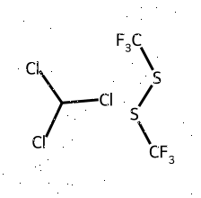 ClC(Cl)Cl.FC(F)(F)SSC(F)(F)F